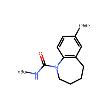 CCCCNC(=O)N1CCCCc2cc(OC)ccc21